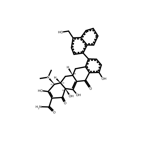 CN(C)[C@@H]1C(O)=C(C(N)=O)C(=O)[C@@]2(O)C(O)=C3C(=O)c4c(O)ccc(-c5ccc(CO)c6ccccc56)c4C[C@H]3C[C@@H]12